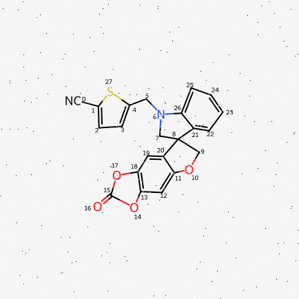 N#Cc1ccc(CN2CC3(COc4cc5oc(=O)oc5cc43)c3ccccc32)s1